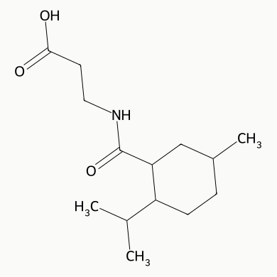 CC1CCC(C(C)C)C(C(=O)NCCC(=O)O)C1